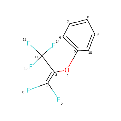 FC(F)=C(Oc1ccccc1)C(F)(F)F